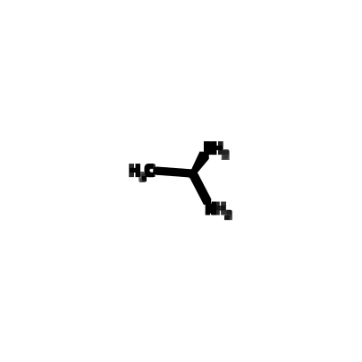 B[C@H](C)N